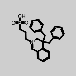 O=S(=O)(O)CCC[N+]1=Cc2ccccc2C(Cc2ccccc2)(Cc2ccccc2)C1